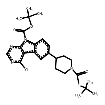 CC(C)(C)OC(=O)N1CCC(c2ccc3c(c2)c2c(Cl)ncnc2n3C(=O)OC(C)(C)C)CC1